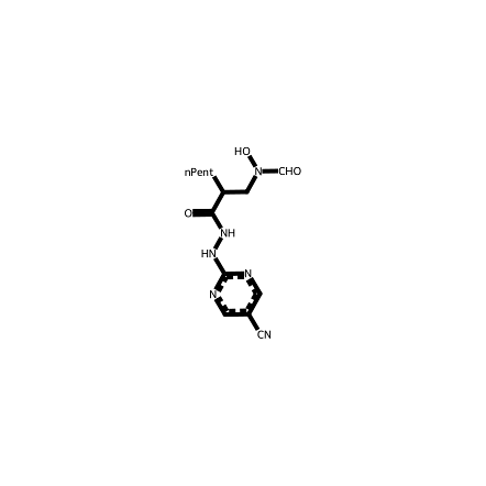 CCCCCC(CN(O)C=O)C(=O)NNc1ncc(C#N)cn1